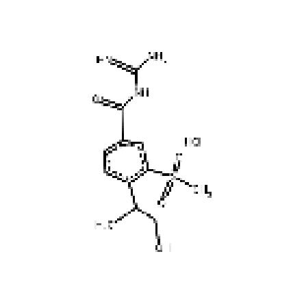 CC(CO)c1ccc(C(=O)NC(=N)N)cc1S(C)(=O)=O.Cl